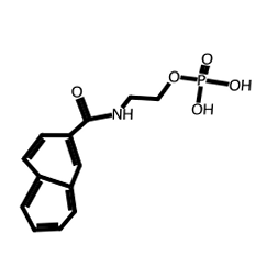 O=C(NCCOP(=O)(O)O)c1ccc2ccccc2c1